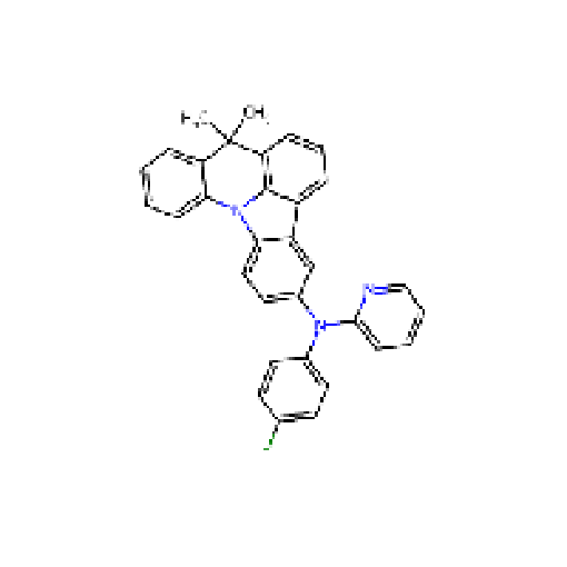 CC1(C)c2ccccc2-n2c3ccc(N(c4ccc(F)cc4)c4ccccn4)cc3c3cccc1c32